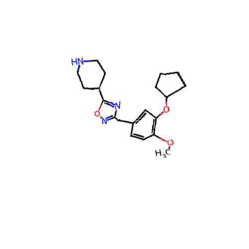 COc1ccc(-c2noc(C3CCNCC3)n2)cc1OC1CCCC1